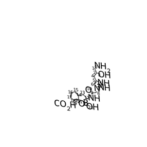 NCC(O)CC1=CN(CC(=O)N[C@H]2Cc3cccc(C(=O)O)c3OB2O)NN1